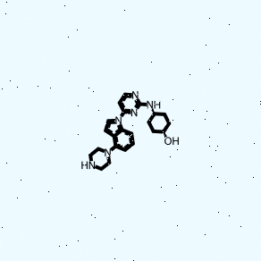 O[C@H]1CC[C@@H](Nc2nccc(-n3ccc4c(N5CCNCC5)cccc43)n2)CC1